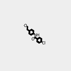 [O]CCc1ccc(NC(=O)c2ccc(Cl)cc2)cc1